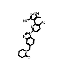 CC(=O)c1ccc(-n2cnc3cc(CN4CCCCC4=O)ccc32)nc1-c1c(C#N)n[nH]c1C